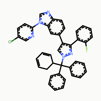 Fc1ccccc1-c1nn(C(c2ccccc2)(c2ccccc2)C2C=CC=CC2)cc1-c1ccc2ncn(-c3ccc(Cl)cn3)c2c1